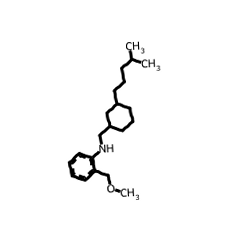 COCc1ccccc1NCC1CCCC(CCCC(C)C)C1